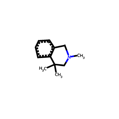 CN1[CH]c2ccccc2C(C)(C)C1